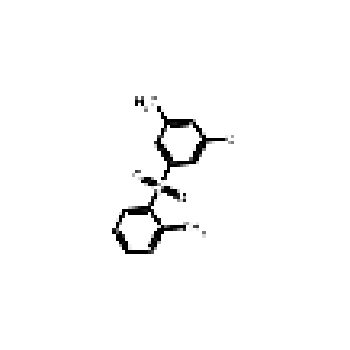 Cc1[c]c(Cl)cc(S(=O)(=O)c2ccccc2C)c1